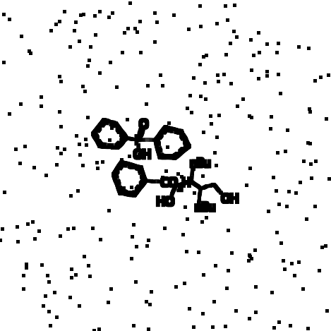 CCCCC(CO)C(CO)CCCC.O=C(O)c1ccccc1.O=P(O)(c1ccccc1)c1ccccc1